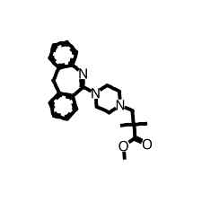 COC(=O)C(C)(C)CN1CCN(C2=Nc3ccccc3Cc3ccccc32)CC1